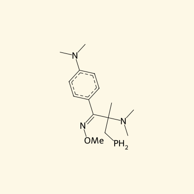 CO/N=C(/c1ccc(N(C)C)cc1)C(C)(CP)N(C)C